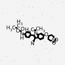 CC(C)OC(=O)Nc1ccc(-c2c(C#N)c3ccc(OC4CCS(=O)(=O)CC4)cc3n2C(C)C)cc1